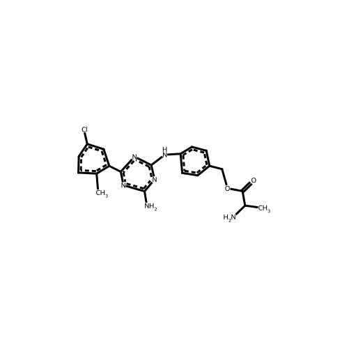 Cc1ccc(Cl)cc1-c1nc(N)nc(Nc2ccc(COC(=O)C(C)N)cc2)n1